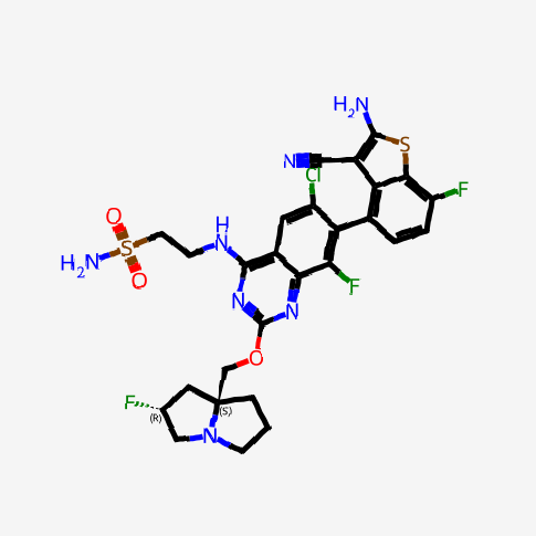 N#Cc1c(N)sc2c(F)ccc(-c3c(Cl)cc4c(NCCS(N)(=O)=O)nc(OC[C@@]56CCCN5C[C@H](F)C6)nc4c3F)c12